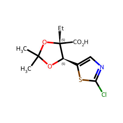 CC[C@]1(C(=O)O)OC(C)(C)O[C@@H]1c1cnc(Cl)s1